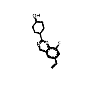 C=Cc1cc(F)c2nc(C3CCC(O)CC3)ncc2c1